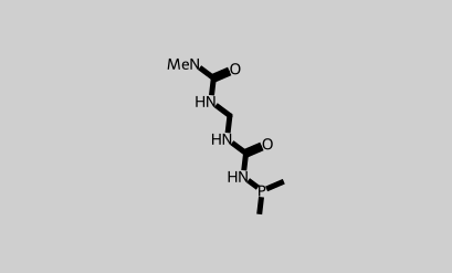 CNC(=O)NCNC(=O)NP(C)C